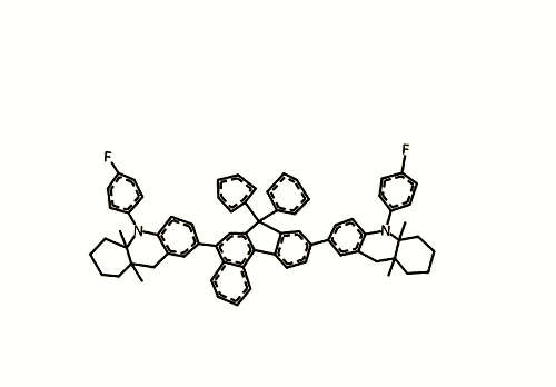 CC12CCCCC1(C)N(c1ccc(F)cc1)c1ccc(-c3ccc4c(c3)C(c3ccccc3)(c3ccccc3)c3cc(-c5ccc6c(c5)CC5(C)CCCCC5(C)N6c5ccc(F)cc5)c5ccccc5c3-4)cc1C2